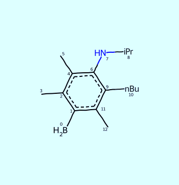 Bc1c(C)c(C)c(NC(C)C)c(CCCC)c1C